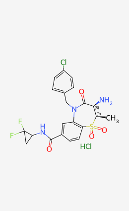 C[C@@H]1[C@H](N)C(=O)N(Cc2ccc(Cl)cc2)c2cc(C(=O)NC3CC3(F)F)ccc2S1(=O)=O.Cl